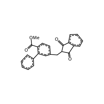 COC(=O)c1ccc(CC2C(=O)c3ccccc3C2=O)cc1-c1ccccc1